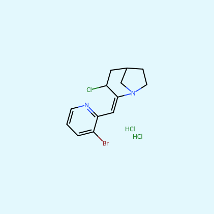 Cl.Cl.ClC1CC2CCN(C2)C1=Cc1ncccc1Br